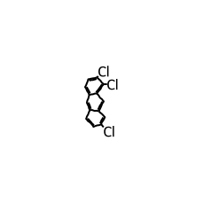 Clc1ccc2cc3ccc(Cl)c(Cl)c3cc2c1